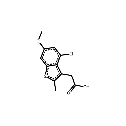 COc1cc(Cl)c2c(CC(=O)O)c(C)sc2c1